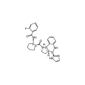 O=C(N[C@@H]1CCCC[C@@H]1C(=O)N1CC[C@H]2[C@H](c3ncc[nH]3)Nc3ccccc3[C@@H]21)c1ccccc1F